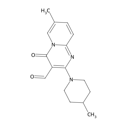 Cc1ccc2nc(N3CCC(C)CC3)c(C=O)c(=O)n2c1